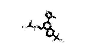 Cn1cncc1-c1cc(/C=N/NC(N)=O)c2ccc(C(F)(F)C(F)(F)F)cc2n1